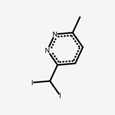 Cc1ccc(C(I)I)nn1